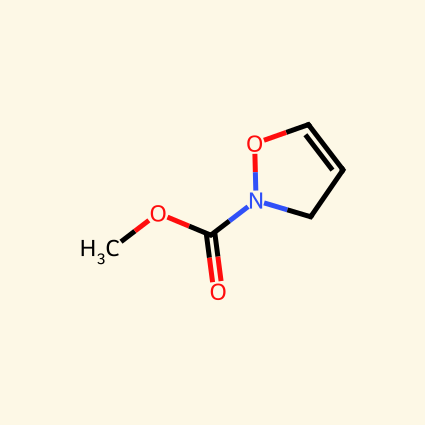 COC(=O)N1CC=CO1